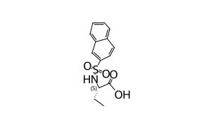 CC[C@H](NS(=O)(=O)c1ccc2ccccc2c1)C(=O)O